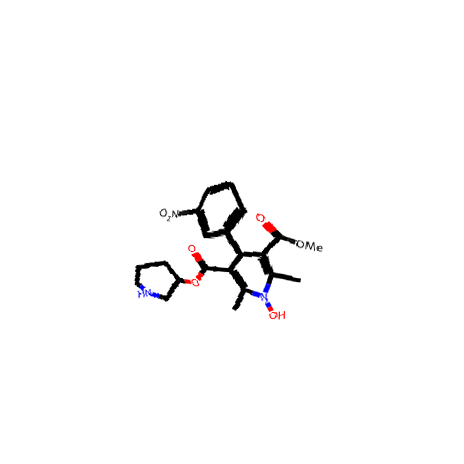 COC(=O)C1=C(C)N(O)C(C)=C(C(=O)OC2CCCNC2)C1c1cccc([N+](=O)[O-])c1